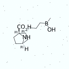 CB(O)CCC[C@@H]1C[C@H]2CC[C@@]1(C(=O)O)N2